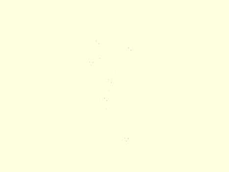 COc1ccc(Nc2nc(-c3c(C)[nH]c(=O)c(C#N)c3OC)cs2)cc1